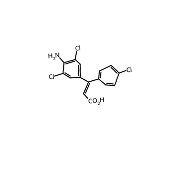 Nc1c(Cl)cc(C(=CC(=O)O)c2ccc(Cl)cc2)cc1Cl